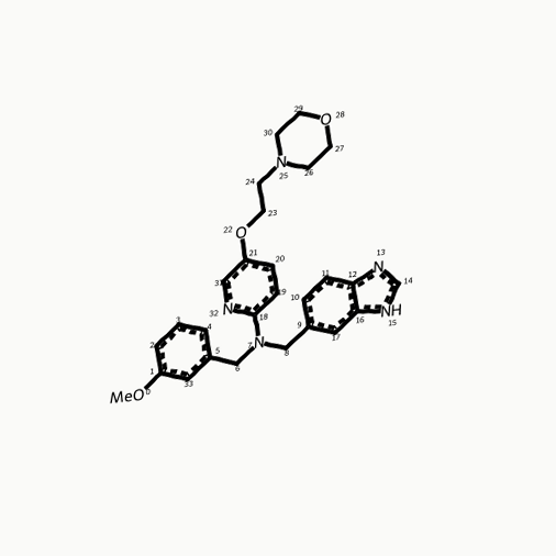 COc1cccc(CN(Cc2ccc3nc[nH]c3c2)c2ccc(OCCN3CCOCC3)cn2)c1